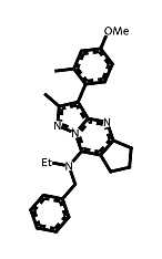 CCN(Cc1ccccc1)c1c2c(nc3c(-c4ccc(OC)cc4C)c(C)nn13)CCC2